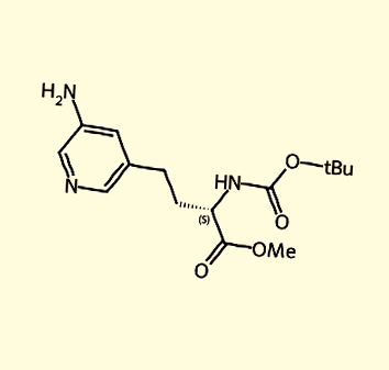 COC(=O)[C@H](CCc1cncc(N)c1)NC(=O)OC(C)(C)C